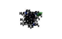 CC1=C(C)[C]([Ti+3])([Si](c2c(C)cc(N(C)C)cc2N(C)C)(c2c(C)cc(N(C)C)cc2N(C)C)c2c(C)cc(N(C)C)cc2N(C)C)C(C)=C1C.[Cl-].[Cl-].[Cl-]